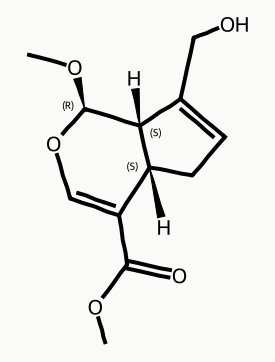 COC(=O)C1=CO[C@@H](OC)[C@@H]2C(CO)=CC[C@H]12